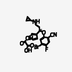 N#Cc1cc(F)c(Br)cc1O[C@H](CCNC1CC1)c1ccsc1.O=C(O)C(=O)O